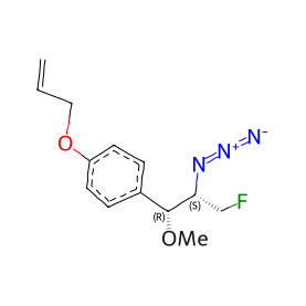 C=CCOc1ccc([C@@H](OC)[C@@H](CF)N=[N+]=[N-])cc1